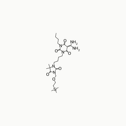 CCCCN1C(=O)C(=C(N)N)C(=O)N(CCCCN2C(=O)N(COCC[Si](C)(C)C)C(=O)C2(C)C)C1=O